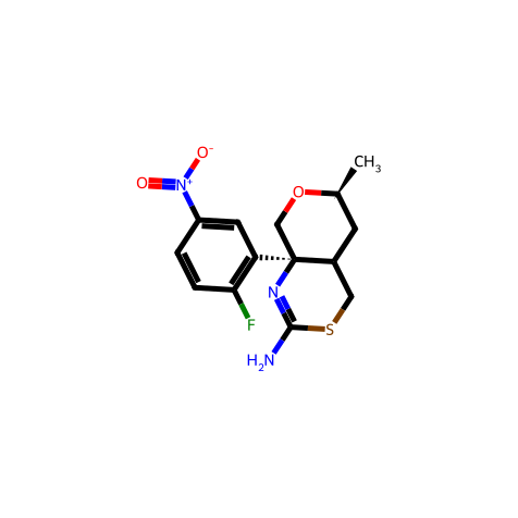 C[C@H]1CC2CSC(N)=N[C@@]2(c2cc([N+](=O)[O-])ccc2F)CO1